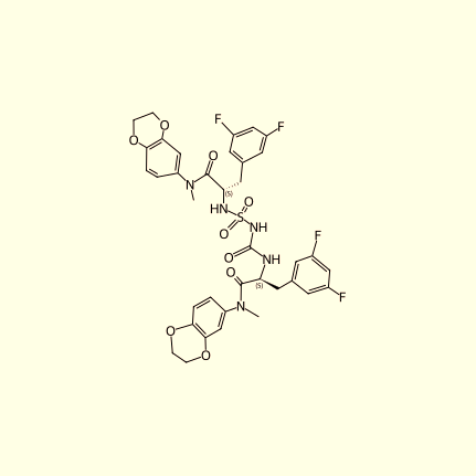 CN(C(=O)[C@H](Cc1cc(F)cc(F)c1)NC(=O)NS(=O)(=O)N[C@@H](Cc1cc(F)cc(F)c1)C(=O)N(C)c1ccc2c(c1)OCCO2)c1ccc2c(c1)OCCO2